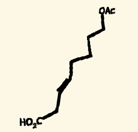 CC(=O)OCCCC/C=C/CC(=O)O